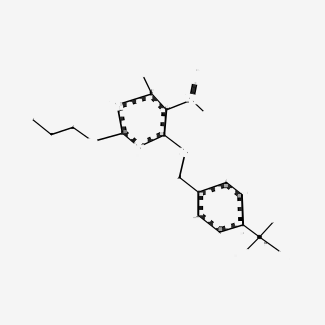 CCCSc1nc(Cl)c([N+](=O)[O-])c(NCc2ccc(C(F)(F)F)cc2)n1